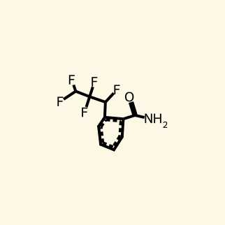 NC(=O)c1ccccc1C(F)C(F)(F)C(F)F